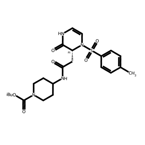 Cc1ccc(S(=O)(=O)N2C=CNC(=O)[C@H]2CC(=O)NC2CCN(C(=O)OCC(C)C)CC2)cc1